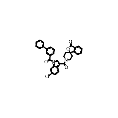 O=C1OC2(CCN(C(=O)c3cn(C(=O)c4cccc(-c5ccccc5)c4)c4cc(Cl)ccc34)CC2)c2ccccc21